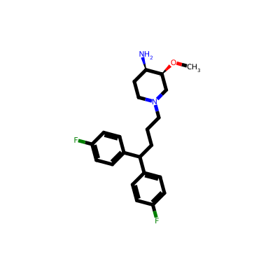 CO[C@H]1CN(CCCC(c2ccc(F)cc2)c2ccc(F)cc2)CC[C@H]1N